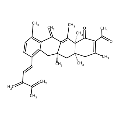 C=C(C)C(=C)/C=C/c1ccc(C)c2c1C[C@]1(C)C[C@]3(C)CC(C)=C(C(C)=O)C(=O)[C@]3(C)C(C)=C1C2=C